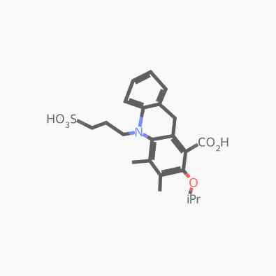 Cc1c(C)c2c(c(C(=O)O)c1OC(C)C)Cc1ccccc1N2CCCS(=O)(=O)O